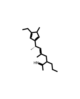 CCCC(C/C(C)=C/[C@H](C)C1=CC(C)C(CC)=C1)C(C)=N